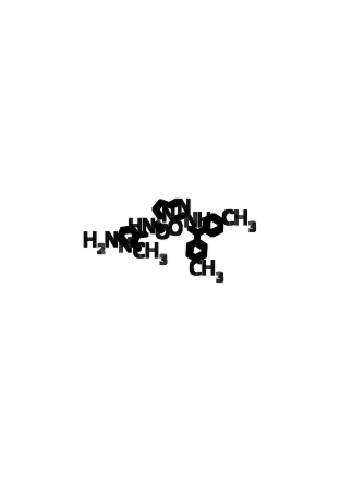 Cc1ccc(C(CNc2ncc3n(c2=O)[C@H](C(=O)NCc2ccc(N)nc2C)CC3)c2ccc(C)cc2)cc1